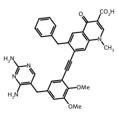 COc1cc(Cc2cnc(N)nc2N)cc(C#Cc2cc3c(cc2Cc2ccccc2)c(=O)c(C(=O)O)cn3C)c1OC